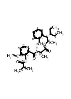 CCC(CC)[C@@H](c1ccccc1C)[C@H](C)OC(=O)[C@H](C)NC(=O)c1nccc(OC)c1OC(=O)C(C)C